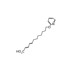 O=C(O)C=CC=CCCCCCCCOc1ccccn1